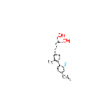 CCc1cc(CCCC(CO)CO)ccc1-c1ccc(C)cc1F